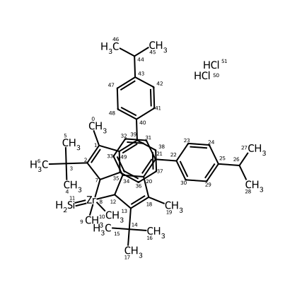 CC1=C(C(C)(C)C)[CH]([Zr]([CH3])([CH3])(=[SiH2])[CH]2C(C(C)(C)C)=C(C)c3c(-c4ccc(C(C)C)cc4)cccc32)c2cccc(-c3ccc(C(C)C)cc3)c21.Cl.Cl